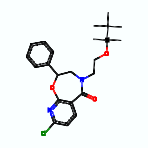 CC(C)(C)[Si](C)(C)OCCN1CC(c2ccccc2)Oc2nc(Cl)ccc2C1=O